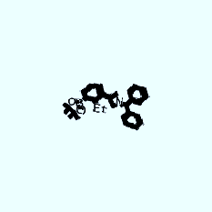 CCc1c(B2OC(C)(C)C(C)(C)O2)cccc1C1CN(C(c2ccccc2)c2ccccc2)C1